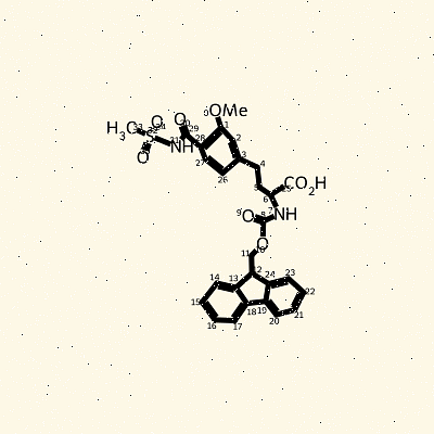 COc1cc(CCC(NC(=O)OCC2c3ccccc3-c3ccccc32)C(=O)O)ccc1C(=O)NS(C)(=O)=O